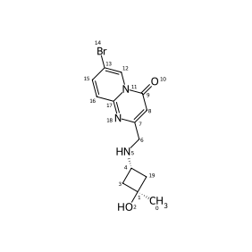 C[C@]1(O)C[C@H](NCc2cc(=O)n3cc(Br)ccc3n2)C1